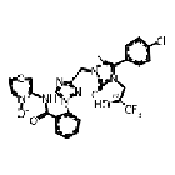 O=C(Nc1cccc[n+]1[O-])c1ccccc1-n1cnc(Cn2nc(-c3ccc(Cl)cc3)n(C[C@H](O)C(F)(F)F)c2=O)n1